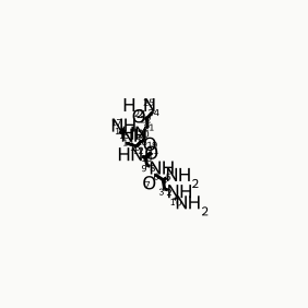 NCNCC(N)C(=O)NCC(=O)NC(CNCN)C(=O)NCC(=O)CN